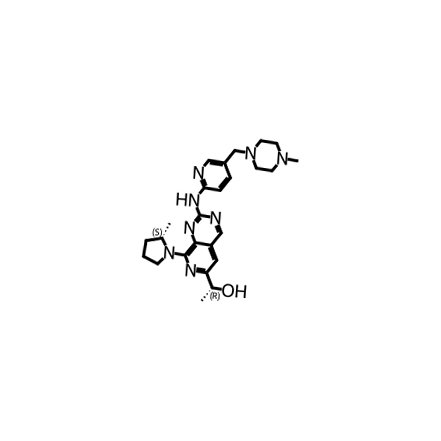 C[C@@H](O)c1cc2cnc(Nc3ccc(CN4CCN(C)CC4)cn3)nc2c(N2CCC[C@@H]2C)n1